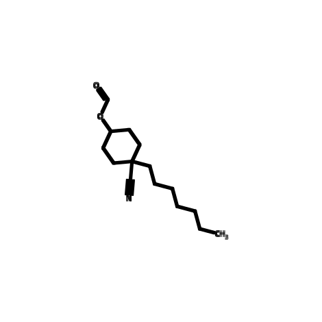 CCCCCCCC1(C#N)CCC(OC=O)CC1